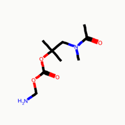 CC(=O)N(C)CC(C)(C)OC(=O)OCN